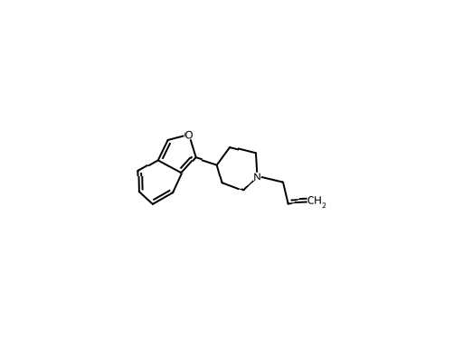 C=CCN1CCC(c2occ3ccccc23)CC1